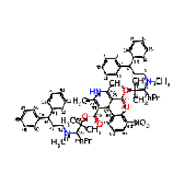 CCCC(N(C)CCC(c1ccccc1)c1ccccc1)C(C)(C)OC(=O)C1=C(C)NC(C)=C(C(=O)OC(C)(C)C(CCC)N(C)CCC(c2ccccc2)c2ccccc2)C1c1cccc([N+](=O)[O-])c1